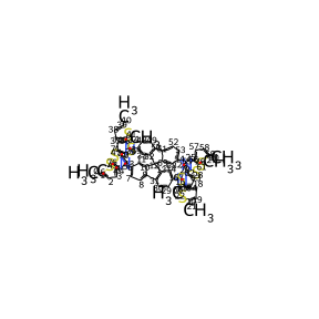 Cc1ccc(N(c2ccc3c(c2)C2(c4cc(N(c5ccc(C)s5)c5ccc(C)s5)ccc4-3)c3cc(N(c4ccc(C)s4)c4ccc(C)s4)ccc3-c3ccc(N(c4ccc(C)s4)c4ccc(C)s4)cc32)c2ccc(C)s2)s1